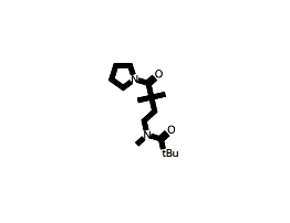 CN(CCC(C)(C)C(=O)N1CCCC1)C(=O)C(C)(C)C